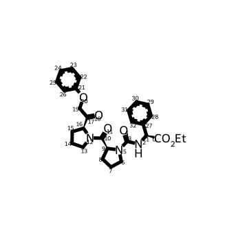 CCOC(=O)[C@@H](NC(=O)N1CCC[C@H]1C(=O)N1CCC[C@H]1C(=O)COc1ccccc1)c1ccccc1